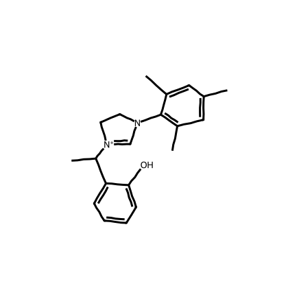 Cc1cc(C)c(N2C=[N+](C(C)c3ccccc3O)CC2)c(C)c1